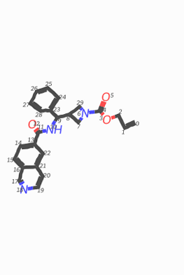 C=CCOC(=O)N1CC(C(NC(=O)c2ccc3cnccc3c2)c2ccccc2)C1